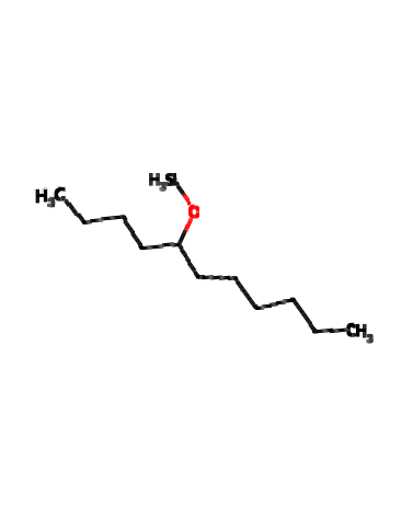 CCCCCCC(CCCC)O[SiH3]